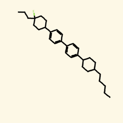 CCCCCC1CCC(c2ccc(-c3ccc(C4CCC(F)(CCC)CC4)cc3)cc2)CC1